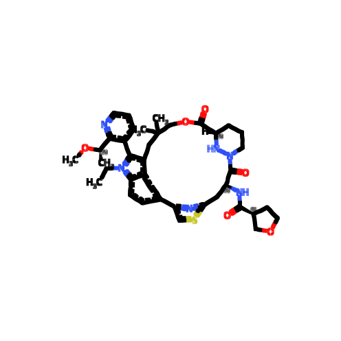 CCn1c(-c2cccnc2[C@H](C)OC)c2c3cc(ccc31)-c1csc(n1)C[C@H](NC(=O)[C@H]1CCOC1)C(=O)N1CCC[C@H](N1)C(=O)OCC(C)(C)C2